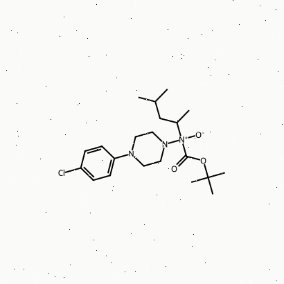 CC(C)CC(C)[N+]([O-])(C(=O)OC(C)(C)C)N1CCN(c2ccc(Cl)cc2)CC1